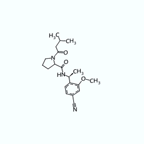 COc1cc(C#N)ccc1[C@H](C)NC(=O)C1CCCN1C(=O)CC(C)C